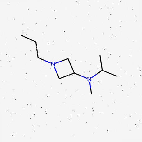 CCCN1CC(N(C)C(C)C)C1